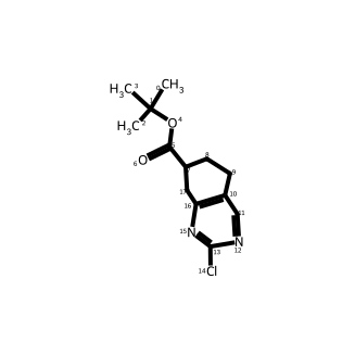 CC(C)(C)OC(=O)C1CCc2cnc(Cl)nc2C1